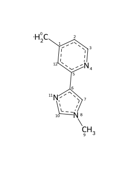 [CH2]c1ccnc(-c2cn(C)cn2)c1